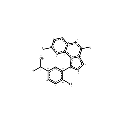 Cc1ccc2nc(C)c3cnc(-c4cc(C(C)O)ccc4Cl)n3c2n1